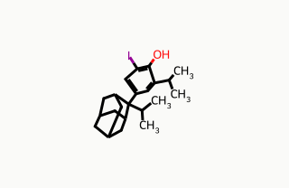 CC(C)c1cc(C2(C(C)C)C3CC4CC(C3)CC2C4)cc(I)c1O